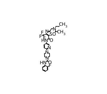 CCCN(Cc1nc(C(F)(F)F)c(C(=O)Nc2ccc(N3CCN(C(=O)Nc4ccccc4F)CC3)nc2)s1)C(C)=O